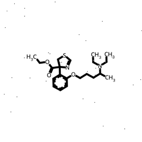 CCOC(=O)C1(c2ccccc2OCCCC(C)N(CC)CC)CSC=N1